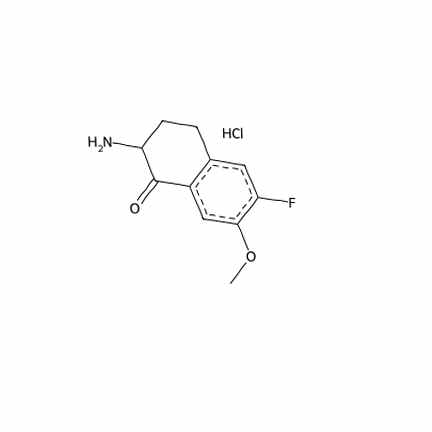 COc1cc2c(cc1F)CCC(N)C2=O.Cl